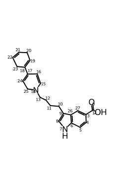 O=C(O)c1ccc2[nH]cc(CCCCN3C=CC(C4=CCC=CC4)=CC3)c2c1